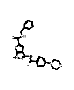 O=C(Nc1n[nH]c2sc(C(=O)NCc3ccccc3)cc12)c1ccc(N2CCOCC2)cc1